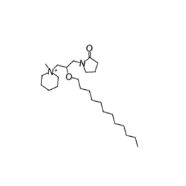 CCCCCCCCCCCCOC(CN1CCCC1=O)C[N+]1(C)CCCCC1